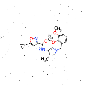 COc1cccc(CN2C[C@H](C)[C@H](NC(=O)c3cc(C4CC4)on3)C2)c1OC